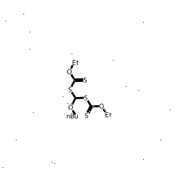 CCCCOC(SC(=S)OCC)SC(=S)OCC